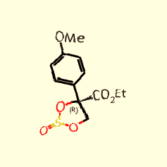 CCOC(=O)[C@@]1(c2ccc(OC)cc2)COS(=O)O1